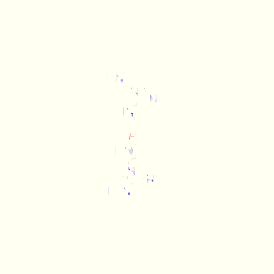 NCCN(CCN)CCNCCOCCNCCN(CCN)CCN